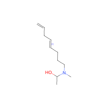 C=CC/C=C/CCCN(C)C(C)O